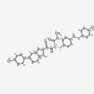 COC(=O)[C@H](Cc1ccc(OCc2ccc(Cl)cc2)cc1)NC(=O)c1cc2cc(-c3ccc(Cl)cc3)ccc2s1